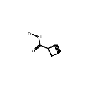 CCNC(=O)C1C#CC1